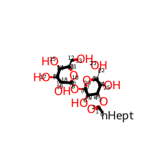 CCCCCCCC(=O)O[C@@H]1[C@@H](O)[C@@H](O[C@H]2O[C@H](CO)[C@@H](O)[C@H](O)[C@H]2O)O[C@H](CO)[C@H]1O